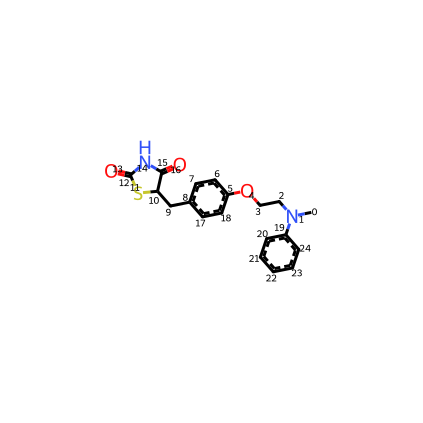 CN(CCOc1ccc(CC2SC(=O)NC2=O)cc1)c1ccccc1